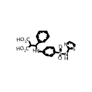 O=C(O)C(C(=O)O)C(Nc1ccc(S(=O)(=O)Nc2nccs2)cc1)c1ccccc1